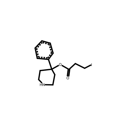 O=C(CCI)OC1(c2ccccc2)CCNCC1